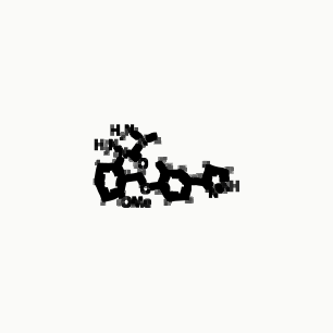 COc1cccc(N(N)C(=O)N(C)N)c1COc1ccc(-c2cc[nH]n2)cc1C